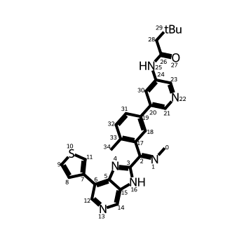 C/N=C(/c1nc2c(-c3ccsc3)cncc2[nH]1)c1cc(-c2cncc(NC(=O)CC(C)(C)C)c2)ccc1C